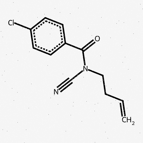 C=CCCN(C#N)C(=O)c1ccc(Cl)cc1